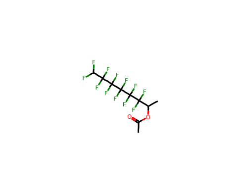 CC(=O)OC(C)C(F)(F)C(F)(F)C(F)(F)C(F)(F)C(F)(F)C(F)F